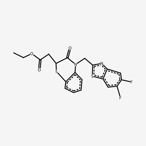 CCOC(=O)CC1Sc2ccccc2N(Cc2nc3cc(F)c(F)cc3s2)C1=O